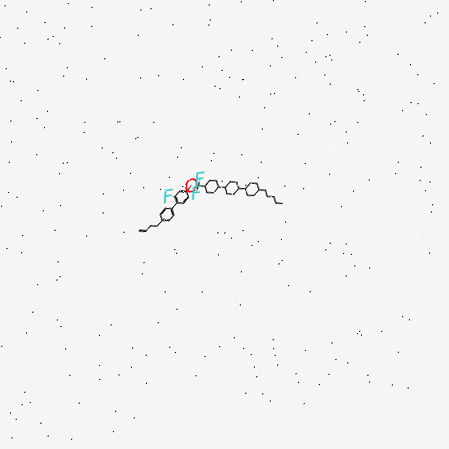 C=CCCc1ccc(-c2ccc(OC(F)(F)C3CCC(C4CCC(C5CCC(CCCCC)CC5)CC4)CC3)cc2F)cc1